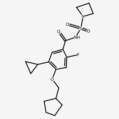 O=C(NS(=O)(=O)N1CCC1)c1cc(C2CC2)c(OCC2CCCC2)cc1F